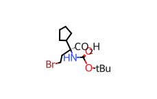 CC(C)(C)OC(=O)N[C@](CCBr)(C(=O)O)C1CCCC1